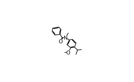 COc1cc(N(C)C(=O)c2ccccc2)ccc1C(C)C